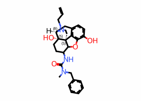 C=CCN1CC[C@]23c4c5ccc(O)c4OC2C(NC(=O)N(C)Cc2ccccc2)CC[C@@]3(O)[C@H]1C5